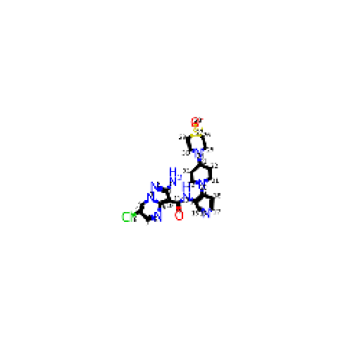 Nc1nn2cc(Cl)cnc2c1C(=O)Nc1cnccc1N1CCC(N2CC[S+]([O-])CC2)CC1